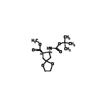 COC(=O)[C@@H]1CC2(C[C@H]1NC(=O)OC(C)(C)C)OCCO2